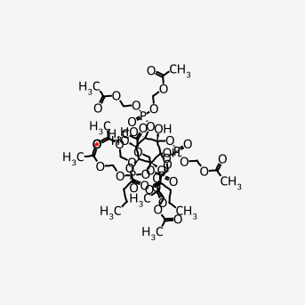 CCCC(=O)O[C@H]1[C@@H](O)[C@@](O)(OP(=O)(OCOC(C)=O)OCOC(C)=O)[C@](O)(OP(=O)(OCOC(C)=O)OCOC(C)=O)[C@@](O)(OP(=O)(OCOC(C)=O)OCOC(C)=O)[C@]1(OC(=O)CCC)OP(=O)(OCOC(C)=O)OCOC(C)=O